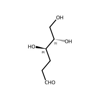 O=CCC[C@@H](O)[C@@H](O)CO